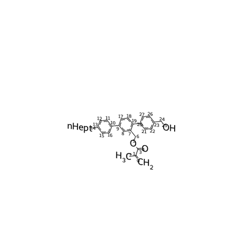 C=C(C)C(=O)OCc1cc(-c2ccc(CCCCCCC)cc2)ccc1-c1ccc(CO)cc1